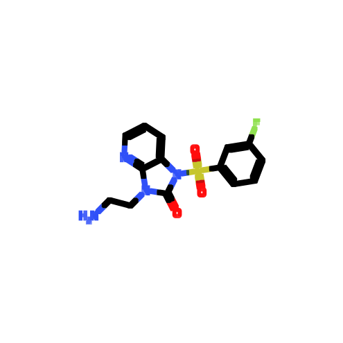 NCCn1c(=O)n(S(=O)(=O)c2cccc(F)c2)c2cccnc21